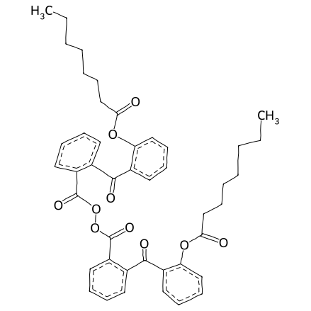 CCCCCCCC(=O)Oc1ccccc1C(=O)c1ccccc1C(=O)OOC(=O)c1ccccc1C(=O)c1ccccc1OC(=O)CCCCCCC